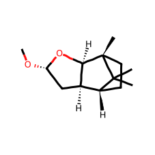 CO[C@H]1C[C@@H]2[C@H]3CC[C@@](C)([C@@H]2O1)C3(C)C